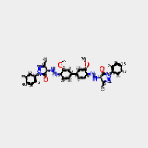 COc1cc(-c2ccc(N=NC3C(=O)N(c4ccccc4)N=C3C)c(OC)c2)ccc1N=NC1C(=O)N(c2ccccc2)N=C1C